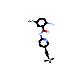 COc1ccc(N)c(C(=O)Nc2ccc(C#C[Si](C)(C)C)cn2)c1